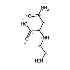 NCCNC(CC(N)=O)C(=O)O